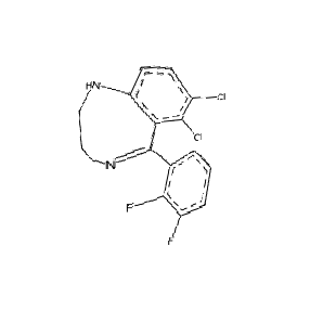 Fc1cccc(C2=NCCNc3ccc(Cl)c(Cl)c32)c1F